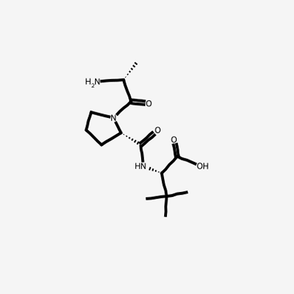 C[C@@H](N)C(=O)N1CCC[C@H]1C(=O)N[C@H](C(=O)O)C(C)(C)C